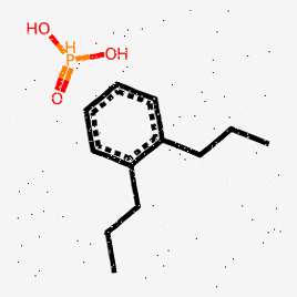 CCCc1ccccc1CCC.O=[PH](O)O